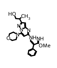 COC(=N)/C(=C\Nc1cc(N2CCOCC2)n2nc(C(C)CO)cc2n1)c1ccccc1